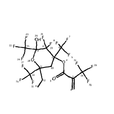 C=C(C(=O)OC1(C(F)(F)F)CC(CC)(C(F)(F)F)OC(O)(C(F)(F)F)C1(F)F)C(F)(F)F